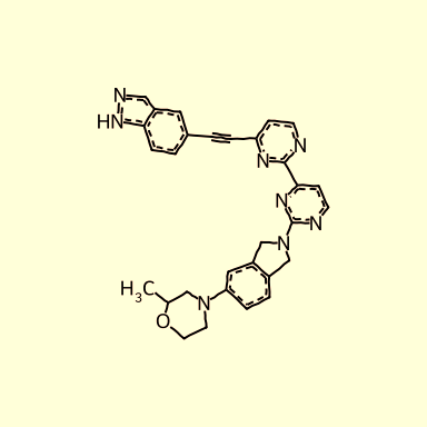 CC1CN(c2ccc3c(c2)CN(c2nccc(-c4nccc(C#Cc5ccc6[nH]ncc6c5)n4)n2)C3)CCO1